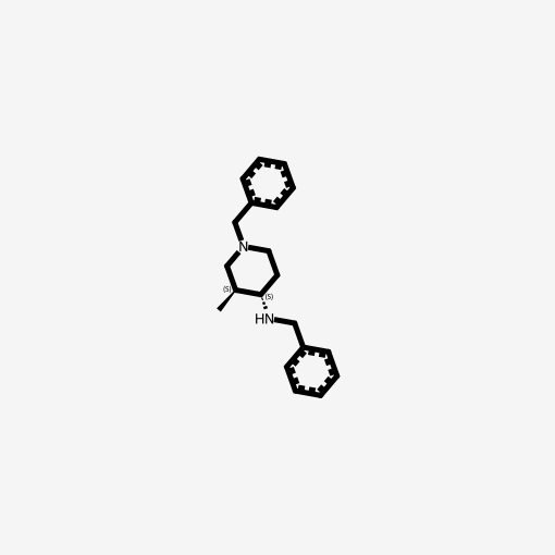 C[C@H]1CN(Cc2ccccc2)CC[C@@H]1NCc1ccccc1